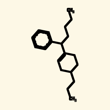 CCCCC(C1=CCC(CCC)CC1)c1ccccc1